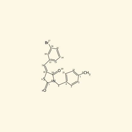 Cc1ccc(CN2C(=O)SC(=Cc3cccc(Br)c3)C2=O)cc1